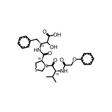 CC(C)[C@H](NC(=O)COc1ccccc1)C(=O)N1CSC[C@H]1C(=O)N[C@@H](Cc1ccccc1)C(O)C(=O)O